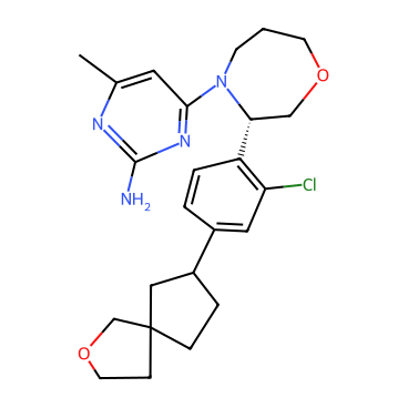 Cc1cc(N2CCCOC[C@@H]2c2ccc(C3CCC4(CCOC4)C3)cc2Cl)nc(N)n1